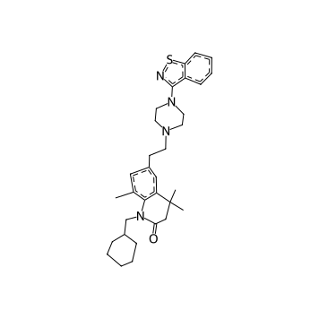 Cc1cc(CCN2CCN(c3nsc4ccccc34)CC2)cc2c1N(CC1CCCCC1)C(=O)CC2(C)C